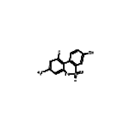 Cc1cc(F)c2c(c1)NS(=O)(=O)c1cc(O)ccc1-2